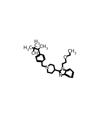 CCOCCn1c(C2CCN(Cc3ccc(C(C)C(C)(C)C)cc3)CC2)nc2ccccc21